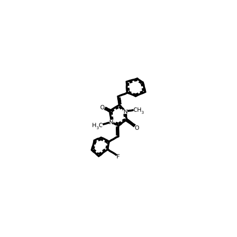 Cn1c(=O)/c(=C/c2ccccc2F)n(C)c(=O)/c1=C/c1ccccc1